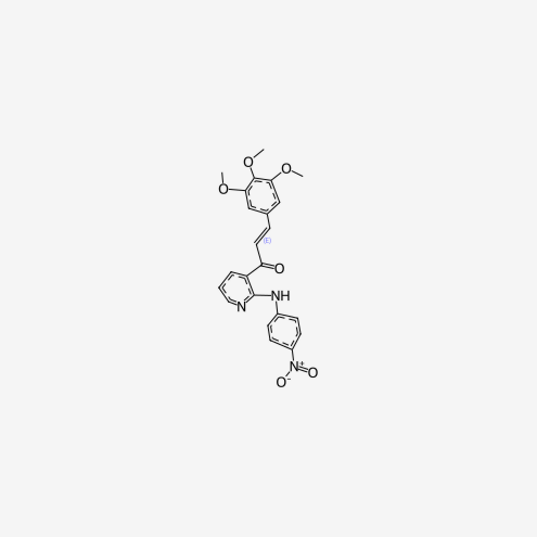 COc1cc(/C=C/C(=O)c2cccnc2Nc2ccc([N+](=O)[O-])cc2)cc(OC)c1OC